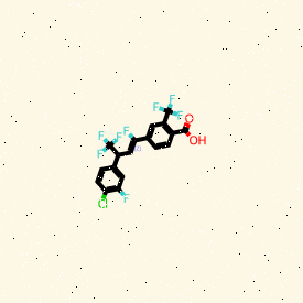 O=C(O)c1ccc(/C(F)=C/C(c2ccc(Cl)c(F)c2)C(F)(F)F)cc1C(F)(F)F